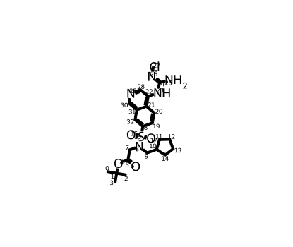 CC(C)(C)OC(=O)CN(CC1CCCC1)S(=O)(=O)c1ccc2c(NC(N)=NCl)cncc2c1